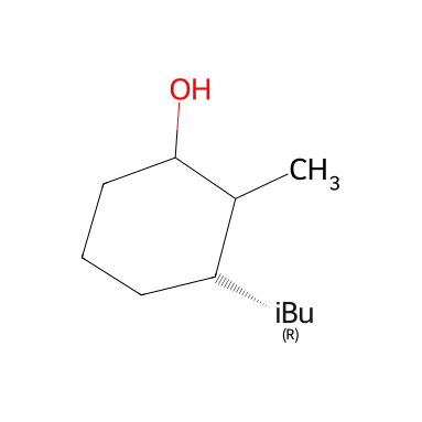 CC[C@@H](C)C1CCCC(O)C1C